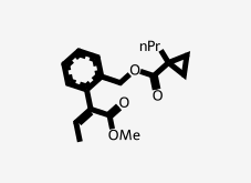 CC=C(C(=O)OC)c1ccccc1COC(=O)C1(CCC)CC1